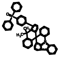 CC1(C)c2ccccc2C2(c3ccccc3-n3c4ccccc4c4cccc2c43)c2cccc(-c3ccc(P(=O)(c4ccccc4)c4ccccc4)cc3)c21